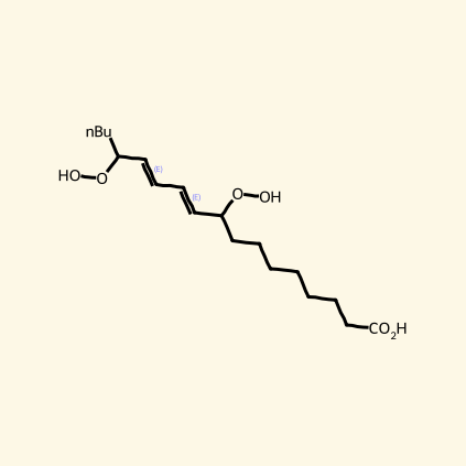 CCCCC(/C=C/C=C/C(CCCCCCCC(=O)O)OO)OO